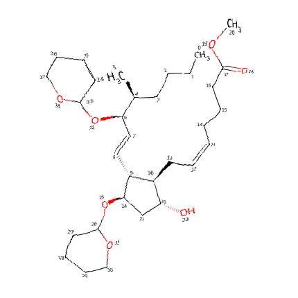 CCCC[C@H](C)[C@@H](/C=C/[C@@H]1[C@@H](C/C=C\CCCC(=O)OC)[C@H](O)C[C@H]1OC1CCCCO1)OC1CCCCO1